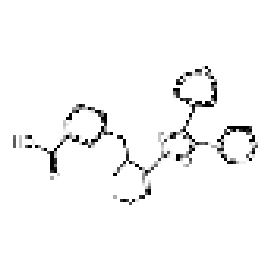 O=C(O)c1cccc(CC2CCCC=C2c2nc(-c3ccccc3)c(-c3ccccc3)o2)c1